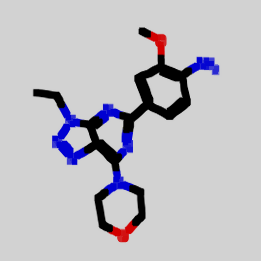 CCn1nnc2c(N3CCOCC3)nc(-c3ccc(N)c(OC)c3)nc21